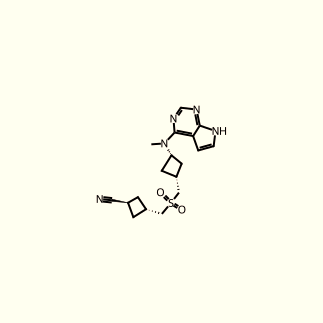 CN(c1ncnc2[nH]ccc12)[C@H]1C[C@@H](CS(=O)(=O)C[C@H]2C[C@H](C#N)C2)C1